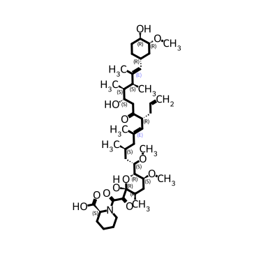 C=CC[C@H](/C=C(\C)C[C@H](C)C[C@H](OC)[C@H]1O[C@@](O)(C(=O)C(=O)N2CCCC[C@H]2C(=O)O)[C@H](C)C[C@@H]1OC)C(=O)C[C@H](O)[C@@H](C)[C@H](C)/C(C)=C/[C@@H]1CC[C@@H](O)[C@H](OC)C1